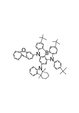 CC(C)(C)c1ccc(N2c3ccc(C(C)(C)C)cc3B3c4cc(C(C)(C)C)ccc4N(c4ccc5c(c4)oc4ccccc45)c4cc(N5c6ccccc6C6(C)CCCCC56C)cc2c43)cc1